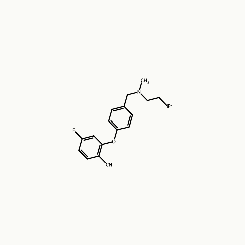 CC(C)CCN(C)Cc1ccc(Oc2cc(F)ccc2C#N)cc1